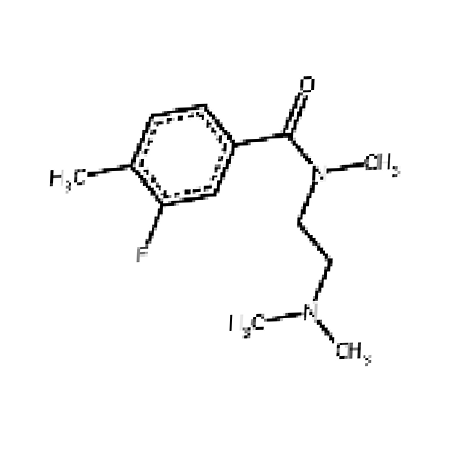 Cc1ccc(C(=O)N(C)CCN(C)C)cc1F